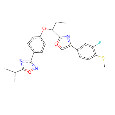 CCC(Oc1ccc(-c2noc(C(C)C)n2)cc1)c1nc(-c2ccc(SC)c(F)c2)co1